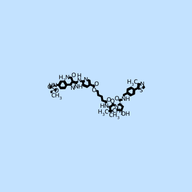 CCS(=O)(=O)Nc1ccc(-c2n[nH]c(Nc3ccc(C(=O)OCCCCC(=O)N[C@H](C(=O)N4C[C@H](O)C[C@H]4C(=O)NCc4ccc(-c5scnc5C)cc4)C(C)(C)C)cn3)c2C(N)=O)cc1